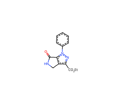 CCOC(=O)c1nn(-c2ccccc2)c2c1CNC2=O